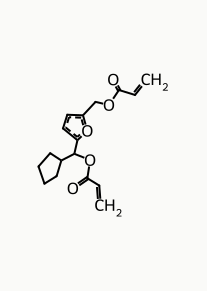 C=CC(=O)OCc1ccc(C(OC(=O)C=C)C2CCCC2)o1